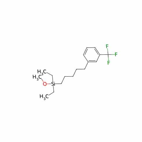 CC[Si](CC)(CCCCCc1cccc(C(F)(F)F)c1)OC